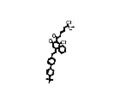 COC(O)C/C=C/CC(=O)C1=C(O)C2(CCCCC2)C(CCC2=CC=C(C3C=CC(C(C)(C)C)CC3)CC2)CC1=O